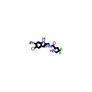 CC(C)c1cc2[nH]c(CNC(=O)C3CC(F)(F)CN3)cc2cc1Cl